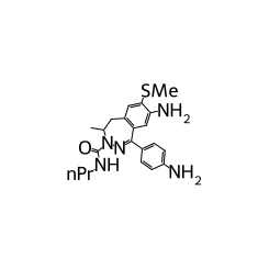 CCCNC(=O)N1N=C(c2ccc(N)cc2)c2cc(N)c(SC)cc2CC1C